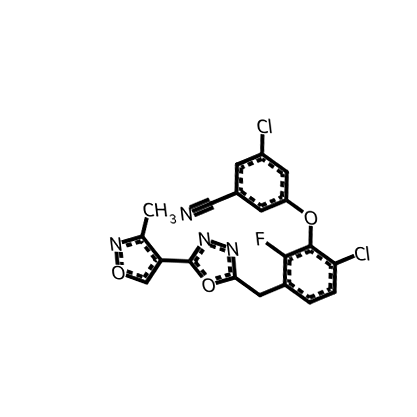 Cc1nocc1-c1nnc(Cc2ccc(Cl)c(Oc3cc(Cl)cc(C#N)c3)c2F)o1